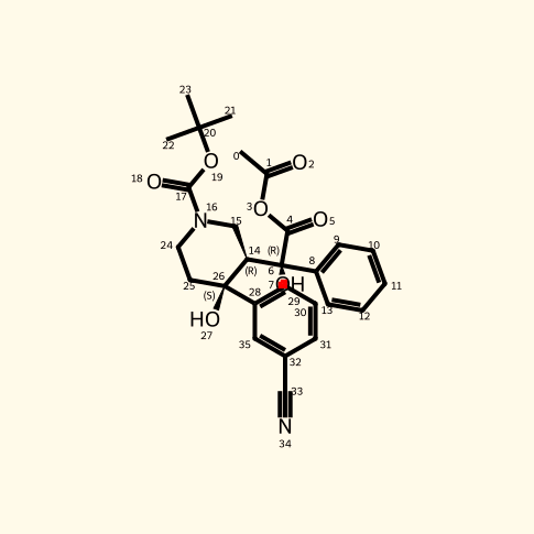 CC(=O)OC(=O)[C@](O)(c1ccccc1)[C@@H]1CN(C(=O)OC(C)(C)C)CC[C@@]1(O)c1cccc(C#N)c1